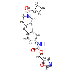 O=C(Nc1ccc(CC2CCN(C(=O)C3CCC3)CC2)cc1)OCc1cnco1